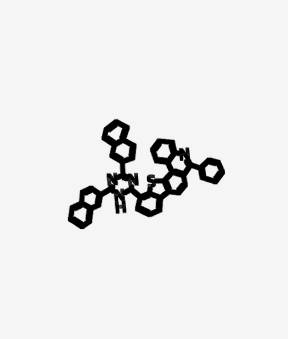 c1ccc(-c2nc3ccccc3c3c2ccc2c4cccc(C5N=C(c6ccc7ccccc7c6)N=C(c6ccc7ccccc7c6)N5)c4sc23)cc1